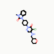 Cn1c(=O)n(C2CCC(n3ncc(NCC4CCCOC4)c(Cl)c3=O)CC2)c2ccccc21